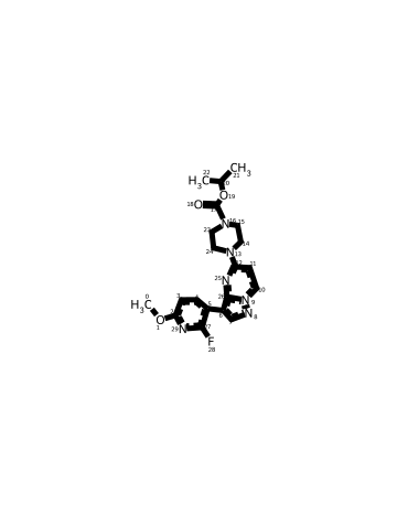 COc1ccc(-c2cnn3ccc(N4CCN(C(=O)OC(C)C)CC4)nc23)c(F)n1